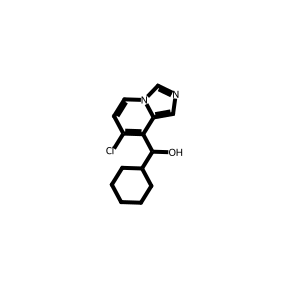 OC(c1c(Cl)ccn2cncc12)C1CCCCC1